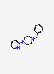 c1ccc(CN2CCN(c3ccccn3)CC2)cc1